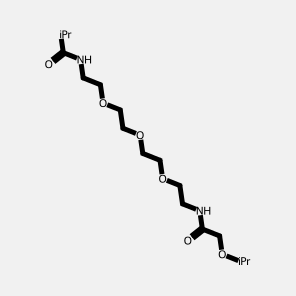 CC(C)OCC(=O)NCCOCCOCCOCCNC(=O)C(C)C